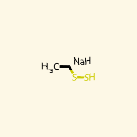 CCSS.[NaH]